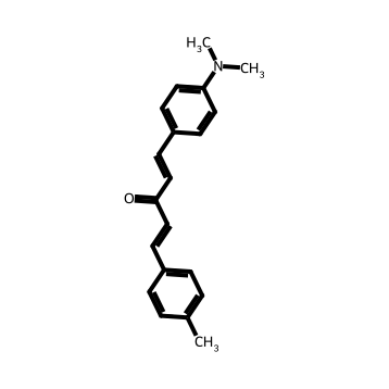 Cc1ccc(C=CC(=O)C=Cc2ccc(N(C)C)cc2)cc1